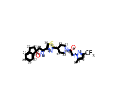 Cc1cc(C(F)(F)F)nn1CC(=O)N1CCC(c2nc(C3=NOC4(CCc5ccccc54)C3)cs2)CC1